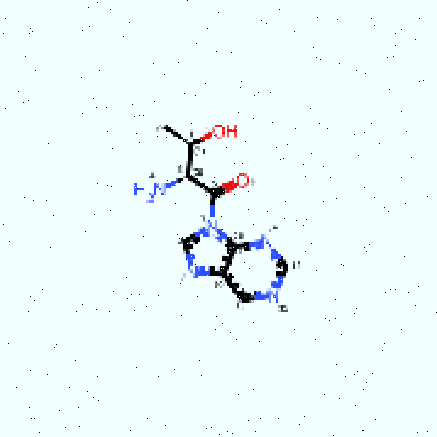 C[C@@H](O)[C@H](N)C(=O)n1cnc2cncnc21